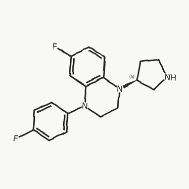 Fc1ccc(N2CCN([C@H]3CCNC3)c3ccc(F)cc32)cc1